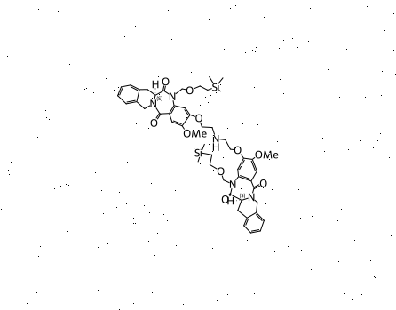 COc1cc2c(cc1OCCNCCOc1cc3c(cc1OC)C(=O)N1Cc4ccccc4C[C@H]1C(=O)N3COCC[Si](C)(C)C)N(COCC[Si](C)(C)C)C(=O)[C@@H]1Cc3ccccc3CN1C2=O